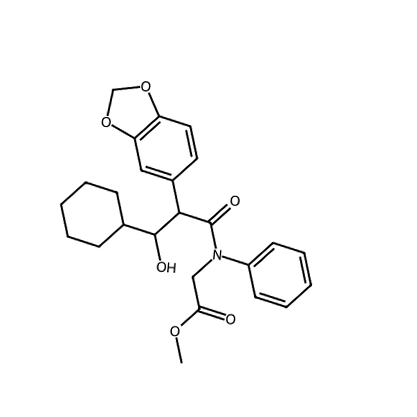 COC(=O)CN(C(=O)C(c1ccc2c(c1)OCO2)C(O)C1CCCCC1)c1ccccc1